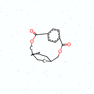 O=C1OCC2CCC3(CCC3C2)COC(=O)c2ccc1cc2